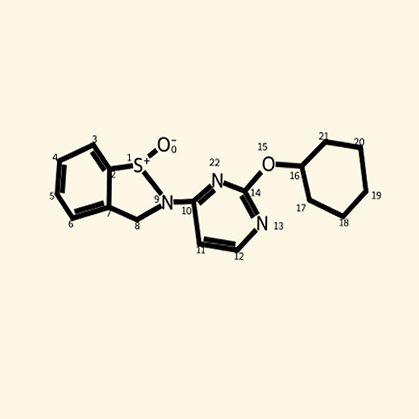 [O-][S+]1c2ccccc2CN1c1ccnc(OC2CCCCC2)n1